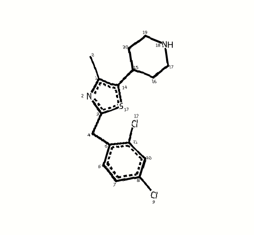 Cc1nc(Cc2ccc(Cl)cc2Cl)sc1C1CCNCC1